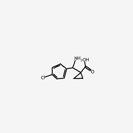 NC(c1ccc(Cl)cc1)C1(C(=O)O)CC1